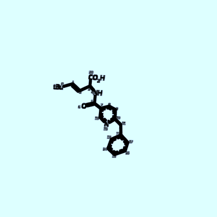 CC(C)(C)/C=C/C(NC(=O)c1ccc(Cc2ccccc2)nc1)C(=O)O